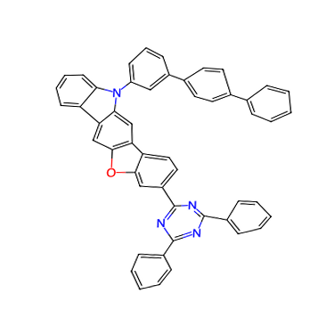 c1ccc(-c2ccc(-c3cccc(-n4c5ccccc5c5cc6oc7cc(-c8nc(-c9ccccc9)nc(-c9ccccc9)n8)ccc7c6cc54)c3)cc2)cc1